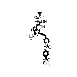 COC(=O)c1ccc(OC(=O)N2CCC(CC#Cc3nc(N)c4ncn([C@@H]5O[C@H](C(=O)NC6CC6)C(O)C5O)c4n3)CC2)cc1